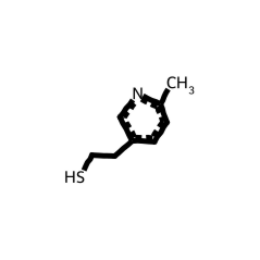 Cc1ccc(CCS)cn1